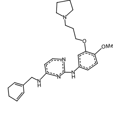 COc1ccc(Nc2nccc(NCC3=CCCC=C3)n2)cc1OCCCN1CCCC1